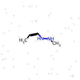 C/C=C\NNC